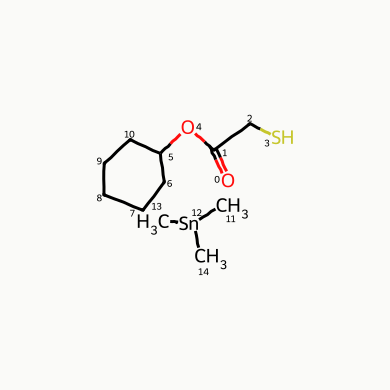 O=C(CS)OC1CCCCC1.[CH3][Sn]([CH3])[CH3]